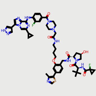 Cc1ncsc1-c1ccc(CNC(=O)[C@@H]2C[C@@H](O)CN2C(=O)[C@@H](NC(=O)C2(F)CC2)C(C)(C)C)c(OCCCCNC(=O)CN2CCN(C(=O)c3ccc(Nc4nc(C5CC5)cn5c(-c6cn[nH]c6)cnc45)c(F)c3)CC2)c1